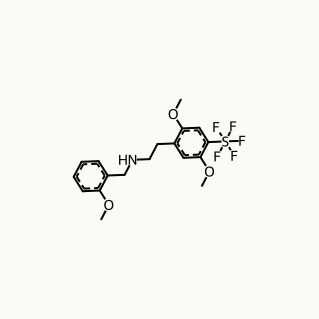 COc1cc(S(F)(F)(F)(F)F)c(OC)cc1CCNCc1ccccc1OC